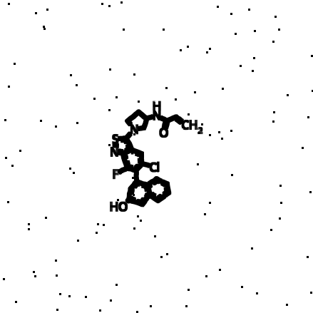 C=CC(=O)NC1CCN(c2snc3c(F)c(-c4cc(O)cc5ccccc45)c(Cl)cc23)C1